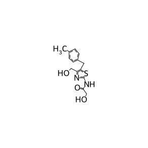 Cc1ccc(Cc2sc(NC(=O)CO)nc2CO)cc1